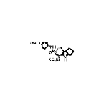 CCOC(=O)C1=CN(C(=O)Nc2ccc(OC)cc2)CCc2c1[nH]c1ccccc21